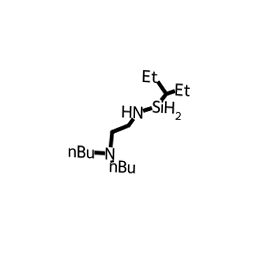 CCCCN(CCCC)CCN[SiH2]C(CC)CC